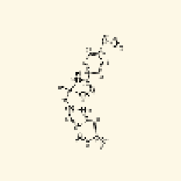 CC(C#N)(Cn1cc2ncc(Br)cc2n1)NC(=O)c1ccc(OC(F)(F)F)cc1